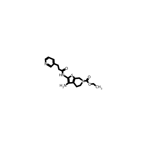 CCOC(=O)N1CCc2c(sc(NC(=O)CCc3cccnc3)c2N)C1